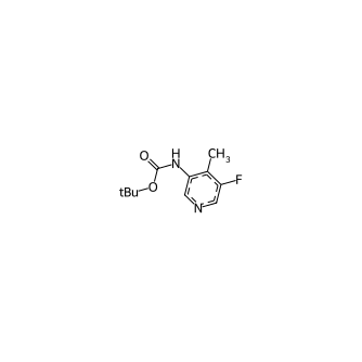 Cc1c(F)cncc1NC(=O)OC(C)(C)C